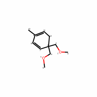 COCC1(COC)C=CC(C)=CC1